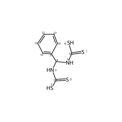 S=C(S)NC(NC(=S)S)c1ccccc1